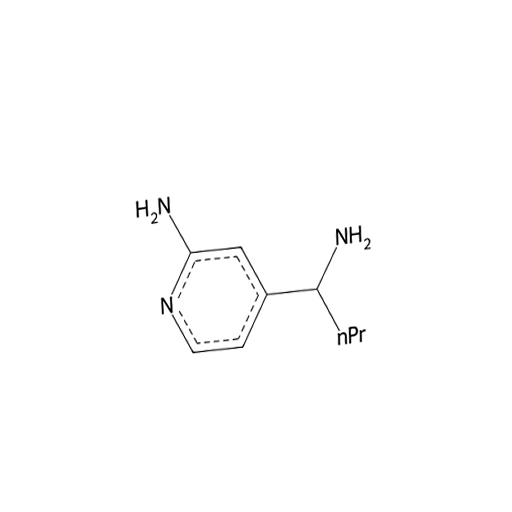 CCCC(N)c1ccnc(N)c1